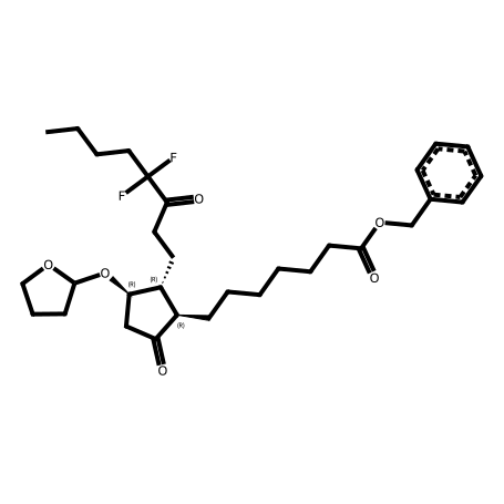 CCCCC(F)(F)C(=O)CC[C@H]1[C@H](OC2CCCO2)CC(=O)[C@@H]1CCCCCCC(=O)OCc1ccccc1